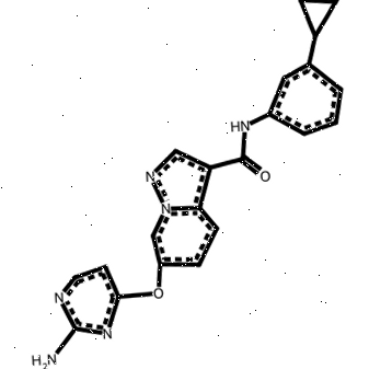 Nc1nccc(Oc2ccc3c(C(=O)Nc4cccc(C5CC5)c4)cnn3c2)n1